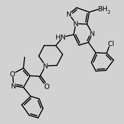 Bc1cnn2c(NC3CCN(C(=O)c4c(-c5ccccc5)noc4C)CC3)cc(-c3ccccc3Cl)nc12